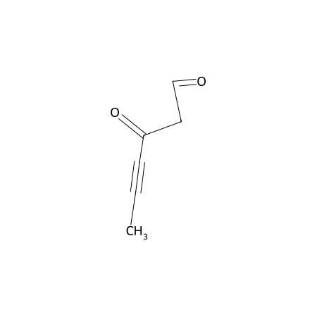 CC#CC(=O)CC=O